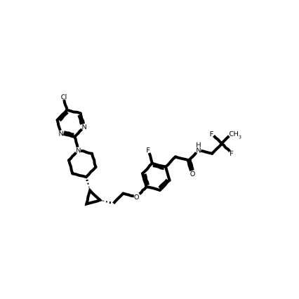 CC(F)(F)CNC(=O)Cc1ccc(OCC[C@@H]2C[C@@H]2C2CCN(c3ncc(Cl)cn3)CC2)cc1F